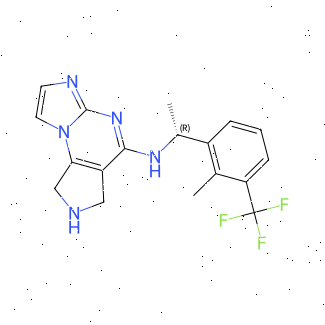 Cc1c([C@@H](C)Nc2nc3nccn3c3c2CNC3)cccc1C(F)(F)F